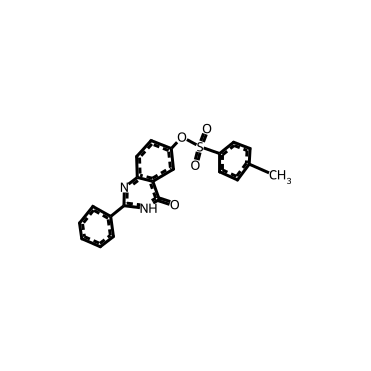 Cc1ccc(S(=O)(=O)Oc2ccc3nc(-c4ccccc4)[nH]c(=O)c3c2)cc1